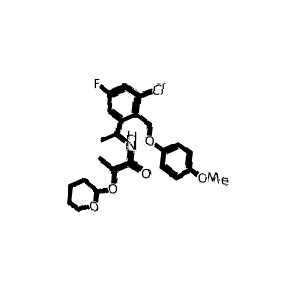 COc1ccc(OCc2c(Cl)cc(F)cc2C(C)NC(=O)C(C)OC2CCCCO2)cc1